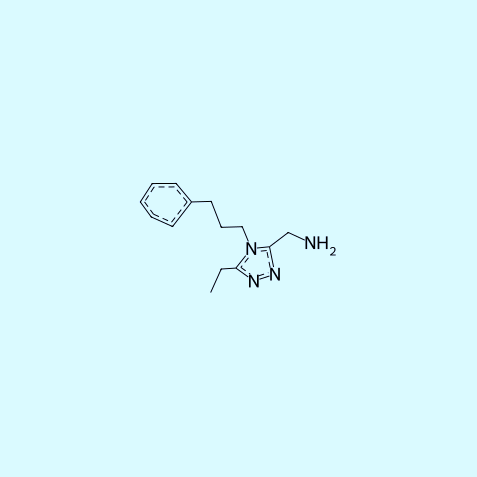 CCc1nnc(CN)n1CCCc1ccccc1